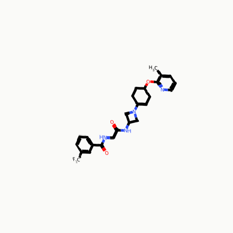 Cc1cccnc1OC1CCC(N2CC(NC(=O)CNC(=O)c3cccc(C(F)(F)F)c3)C2)CC1